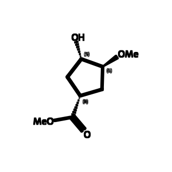 COC(=O)[C@H]1C[C@H](OC)[C@@H](O)C1